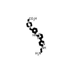 NCCNc1ccc(-c2ccnc(Nc3cccc(CN4CCN(CC(=O)O)CC4)c3)n2)cn1